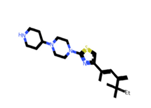 C=C(/C=C(\C)c1csc(N2CCN(C3CCNCC3)CC2)n1)C(C)(C)CC